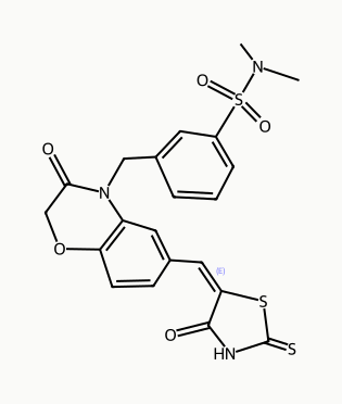 CN(C)S(=O)(=O)c1cccc(CN2C(=O)COc3ccc(/C=C4/SC(=S)NC4=O)cc32)c1